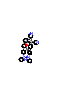 C[Si](C)(c1ccncc1)C1([Si](C)(C)c2ccncc2)c2ccccc2Oc2c1cccc2[Si](c1ccccc1)(c1ccccc1)c1cccc(-n2c3ccccc3n3c4ccccc4nc23)c1